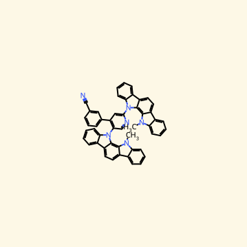 Cn1c2ccccc2c2ccc3c4ccccc4n(-c4cc(-c5cccc(C#N)c5)c(-n5c6ccccc6c6ccc7c8ccccc8n(C)c7c65)cn4)c3c21